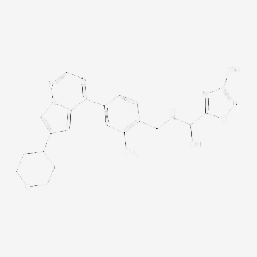 Cc1cc(-c2ncnn3cc(C4CCOCC4)cc23)ccc1CNC(O)c1nc(C(C)(C)C)no1